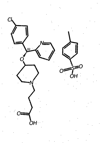 Cc1ccc(S(=O)(=O)O)cc1.O=C(O)CCCN1CCC(O[C@@H](c2ccc(Cl)cc2)c2ccccn2)CC1